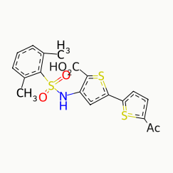 CC(=O)c1ccc(-c2cc(NS(=O)(=O)c3c(C)cccc3C)c(C(=O)O)s2)s1